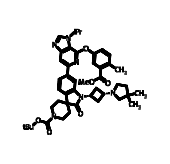 COC(=O)c1cc(Oc2nc(-c3ccc4c(c3)N([C@H]3C[C@@H](N5CCC(C)(C)C5)C3)C(=O)C43CCN(C(=O)OC(C)(C)C)CC3)cc3ncn(C(C)C)c23)ccc1C